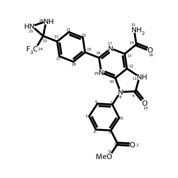 COC(=O)c1cccc(-n2c(=O)[nH]c3c(C(N)=O)nc(-c4ccc(C5(C(F)(F)F)NN5)cc4)nc32)c1